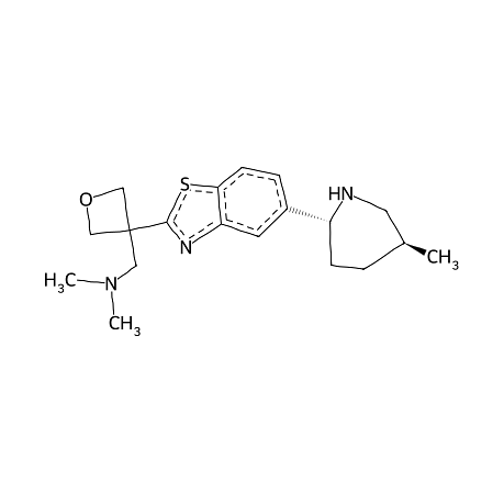 C[C@H]1CC[C@H](c2ccc3sc(C4(CN(C)C)COC4)nc3c2)NC1